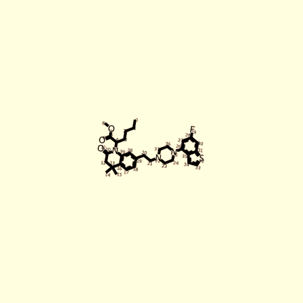 CCCCC(C(=O)OC)N1C(=O)CC(C)(C)c2ccc(CCN3CCN(c4cc(F)cc5sccc45)CC3)cc21